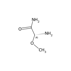 CO[C@@H](N)C(N)=O